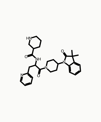 CC1(C)C(=O)N(C2CCN(C(=O)C(Cc3ccccn3)NC(=O)C3CCCNC3)CC2)c2ccccc21